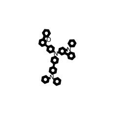 c1ccc(N(c2ccccc2)c2ccc(-c3ccc(N(c4ccc(-c5cccc6c5oc5ccccc56)cc4)c4ccc5c(c4)c4ccccc4n5-c4ccccc4)cc3)cc2)cc1